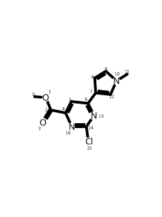 COC(=O)c1cc(-c2ccn(C)c2)nc(Cl)n1